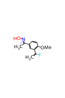 C=C(F)c1cc(/C(C)=N/O)ccc1OC